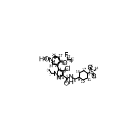 CCn1nc(C(=O)NCC2CCC(S(C)(=O)=O)CC2)c(Cl)c1-c1c[n+](O)ccc1OC(F)F